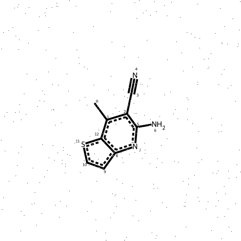 Cc1c(C#N)c(N)nc2ccsc12